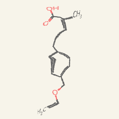 C=COCc1ccc(CC=C(C)C(=O)O)cc1